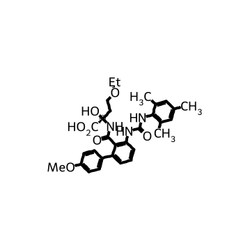 CCOCC[C@@](O)(NC(=O)c1c(NC(=O)Nc2c(C)cc(C)cc2C)cccc1-c1ccc(OC)cc1)C(=O)O